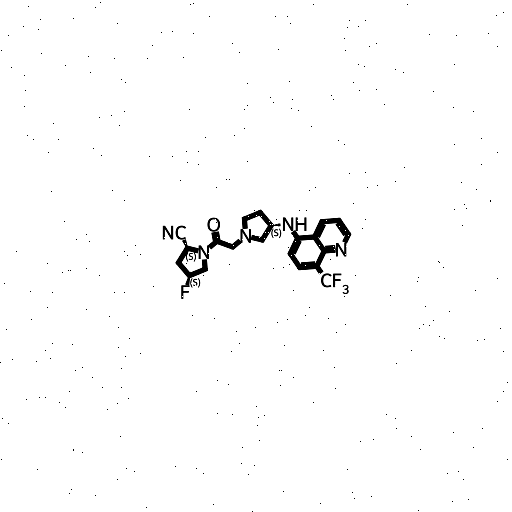 N#C[C@@H]1C[C@H](F)CN1C(=O)CN1CC[C@H](Nc2ccc(C(F)(F)F)c3ncccc23)C1